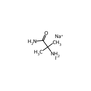 CC(C)(N)C(N)=O.[I-].[Na+]